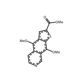 COC(=O)c1cc2c(OC)c3ccncc3c(OC)c2s1